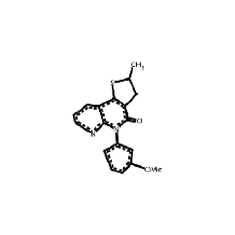 COc1cccc(-n2c(=O)c3c(c4cccnc42)SC(C)C3)c1